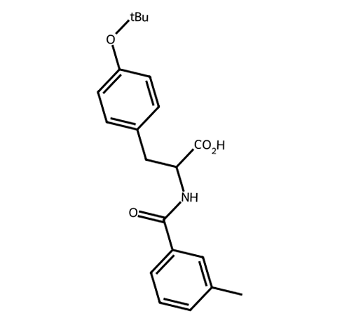 Cc1cccc(C(=O)NC(Cc2ccc(OC(C)(C)C)cc2)C(=O)O)c1